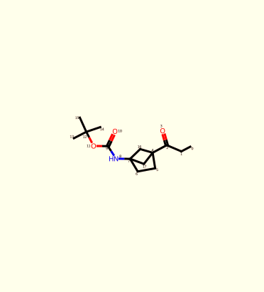 CCC(=O)C12CCC(NC(=O)OC(C)(C)C)(C1)C2